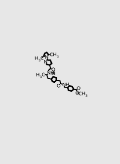 COC(=O)c1ccc(CNC(=O)Cc2ccc(CC(C)NC[C@@H](O)c3ccc(-n4c(C)ccc4C)nc3)cc2)cc1